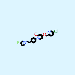 O=c1cc(OCc2ccc(Cl)cn2)ccn1-c1ccc(CCN2CC[C@H](F)C2)cc1